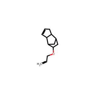 C=CCOC1CC2CC1C1C=CCC21